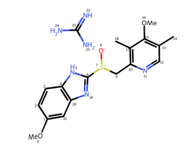 COc1ccc2[nH]c([S+]([O-])Cc3ncc(C)c(OC)c3C)nc2c1.N=C(N)N